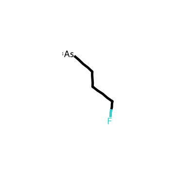 FCCC[As]